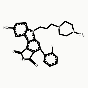 CN1CCN(CCCn2c3ccc(O)cc3c3c4c(c(-c5ccccc5Cl)cc32)C(=O)NC4=O)CC1